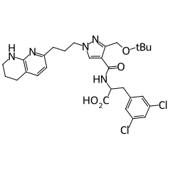 CC(C)(C)OCc1nn(CCCc2ccc3c(n2)NCCC3)cc1C(=O)NC(Cc1cc(Cl)cc(Cl)c1)C(=O)O